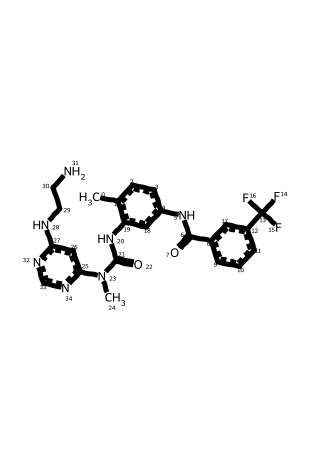 Cc1ccc(NC(=O)c2cccc(C(F)(F)F)c2)cc1NC(=O)N(C)c1cc(NCCN)ncn1